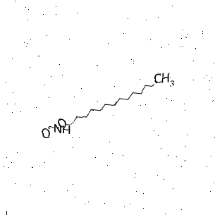 CCCCCCCCCCCCCCONC=O